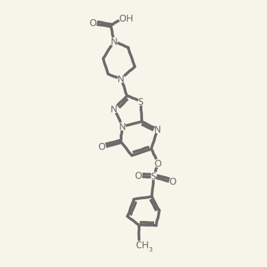 Cc1ccc(S(=O)(=O)Oc2cc(=O)n3nc(N4CCN(C(=O)O)CC4)sc3n2)cc1